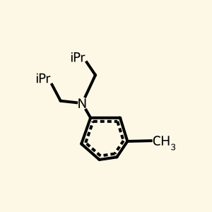 Cc1cccc(N(CC(C)C)CC(C)C)c1